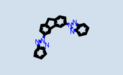 c1ccc2nn(-c3ccc4c(c3)-c3cc(-n5nc6ccccc6n5)ccc3C4)nc2c1